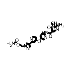 Cc1ncc(C(=O)Nc2ccc(Oc3ccnc(-c4cnn(CCOC(N)=O)c4)c3)cn2)c(=O)n1C